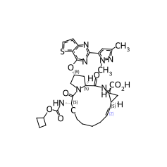 Cc1cc(-c2nc(O[C@@H]3C[C@H]4C(=O)N[C@]5(C(=O)O)C[C@H]5/C=C\CCCCC[C@H](NC(=O)OC5CCC5)C(=O)N4C3)c3sccc3n2)n(C)n1